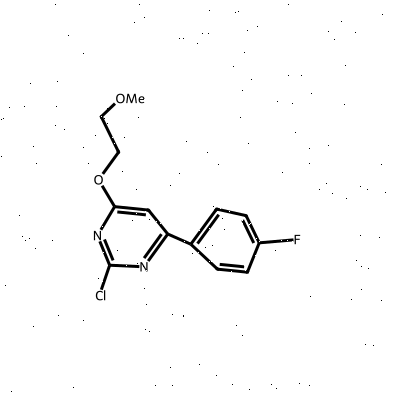 COCCOc1cc(-c2ccc(F)cc2)nc(Cl)n1